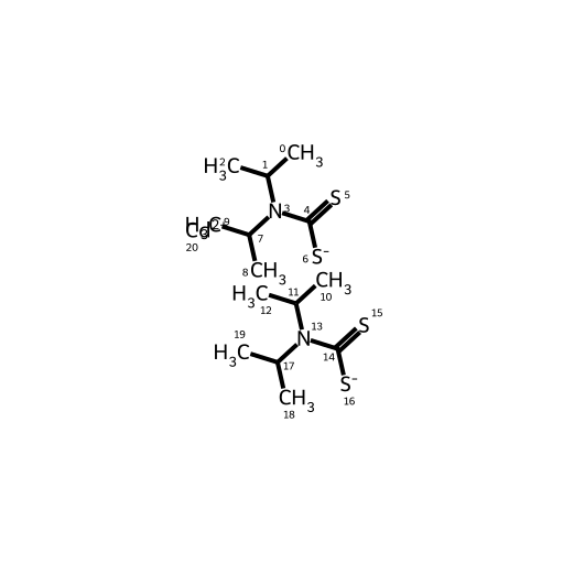 CC(C)N(C(=S)[S-])C(C)C.CC(C)N(C(=S)[S-])C(C)C.[Cd+2]